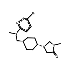 CN1CN([C@H]2CC[C@H](CN(C)c3ccc(Br)nn3)CC2)CC1=O